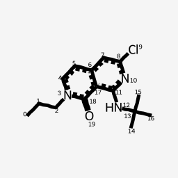 CCCn1ccc2cc(Cl)nc(NC(C)(C)C)c2c1=O